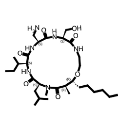 CCCCCC[C@H]1OCCNC(=O)[C@H](CO)NC(=O)[C@H](CN)NC(=O)[C@H](C(C)CC)NC(=O)[C@H](CC(C)C)N(C)C(=O)[C@@H]1C